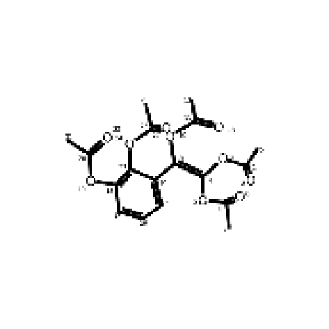 CC(=O)OC(OC(C)=O)=C(OC(C)=O)c1cccc(OC(C)=O)c1OC(C)=O